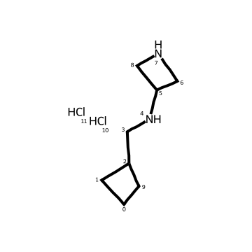 C1CC(CNC2CNC2)C1.Cl.Cl